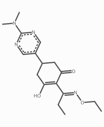 CCON=C(CC)C1=C(O)CC(c2cnc(N(C)C)nc2)CC1=O